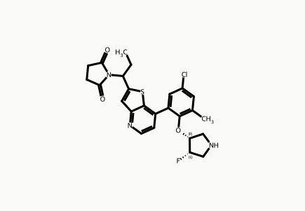 CCC(c1cc2nccc(-c3cc(Cl)cc(C)c3O[C@@H]3CNC[C@@H]3F)c2s1)N1C(=O)CCC1=O